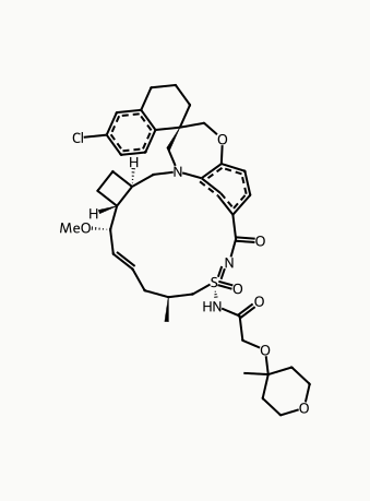 CO[C@H]1/C=C/C[C@H](C)C[S@@](=O)(NC(=O)COC2(C)CCOCC2)=NC(=O)c2ccc3c(c2)N(C[C@@H]2CC[C@H]21)C[C@@]1(CCCc2cc(Cl)ccc21)CO3